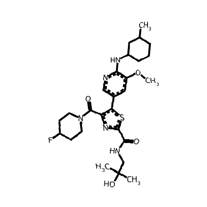 COc1cc(-c2sc(C(=O)NCC(C)(C)O)nc2C(=O)N2CCC(F)CC2)cnc1NC1CCCC(C)C1